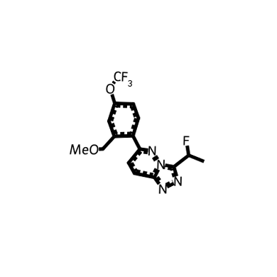 COCc1cc(OC(F)(F)F)ccc1-c1ccc2nnc(C(C)F)n2n1